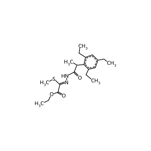 CCOC(=O)C(=NNC(=O)C(C)c1c(CC)cc(CC)cc1CC)SC